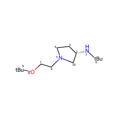 CC(C)(C)N[C@H]1CCN(CCOC(C)(C)C)C1